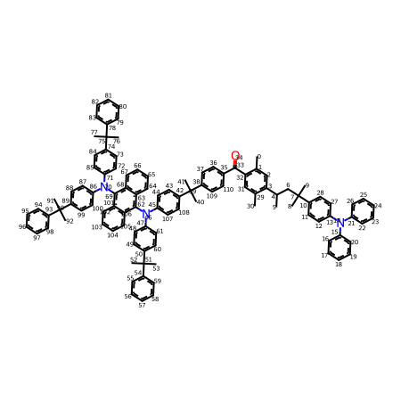 Cc1cc(C(C)CC(C)(C)c2ccc(N(c3ccccc3)c3ccccc3)cc2)c(C)cc1C(=O)c1ccc(C(C)(C)c2ccc(N(c3ccc(C(C)(C)c4ccccc4)cc3)c3c4ccccc4c(N(c4ccc(C(C)(C)c5ccccc5)cc4)c4ccc(C(C)(C)c5ccccc5)cc4)c4ccccc34)cc2)cc1